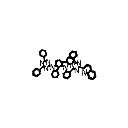 c1ccc(-c2nc(-c3ccc4ccccc4n3)nc(-c3ccccc3-n3c4ccccc4c4ccc5c(c6ccccc6n5-c5nc(-c6ccccc6)nc(-c6ccccc6)n5)c43)n2)cc1